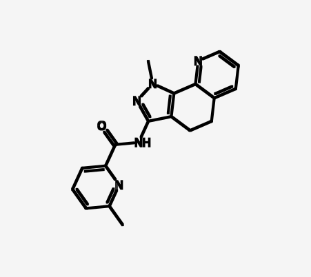 Cc1cccc(C(=O)Nc2nn(C)c3c2CCc2cccnc2-3)n1